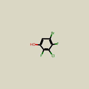 Oc1cc(Br)c(F)c(Cl)c1F